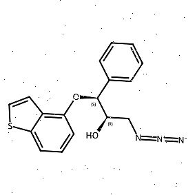 [N-]=[N+]=NC[C@@H](O)[C@@H](Oc1cccc2sccc12)c1ccccc1